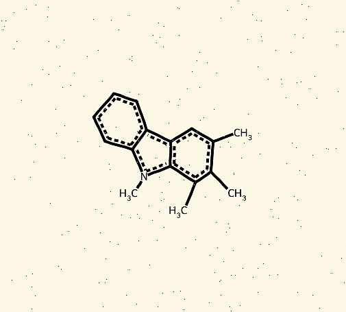 Cc1cc2c3ccccc3n(C)c2c(C)c1C